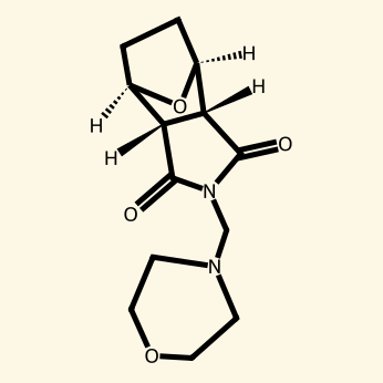 O=C1[C@@H]2[C@H](C(=O)N1CN1CCOCC1)[C@H]1CC[C@@H]2O1